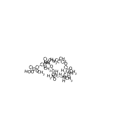 CCC(C)(C)c1ccc(Oc2cccc(C(=O)C(C)(C)NCC(=O)C(C)(C)NCCCCC(NC(=O)COCCOCCNC(=O)c3ccccc3Nc3ccc(-c4ccc(Oc5ccccc5C(=O)O)c(OC)c4)cc3OC)C(N)=O)c2)cc1